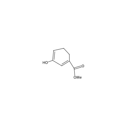 COC(=O)C1=CC(O)=CCC1